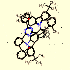 Cc1ccccc1C1=C(n2c3c(c4cc(C(C)(C)C)ccc42)C=C(C(C)(C)C)CC3)C(c2nc(-c3ccccc3)nc(-c3cccc(-c4ccccc4C)c3N3c4ccc(C(C)(C)C)cc4C4C=C(C(C)(C)C)C=CC43)n2)CC=C1